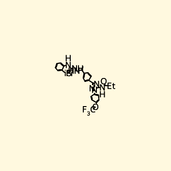 CCC(=O)Nc1nc(-c2ccc(C(C)NNC(=S)Nc3ccccc3C(C)C)cc2)nn1-c1ccc(OC(F)(F)F)cc1